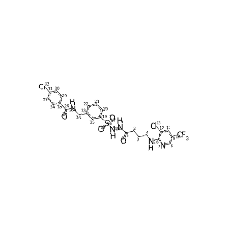 O=C(CCCNc1ncc(C(F)(F)F)cc1Cl)NNS(=O)(=O)c1cccc(CNC(=O)c2ccc(Cl)cc2)c1